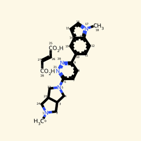 CN1CC2CN(c3ccc(-c4ccc5c(ccn5C)c4)nn3)CC2C1.O=C(O)C=CC(=O)O